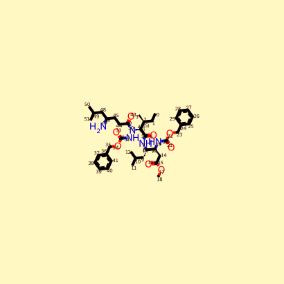 CC[C@H](C)[C@@H](C(=O)N[C@@H](CC(C)C)[C@H](CC(=O)OC)NC(=O)OCc1ccccc1)N(NC(=O)OCc1ccccc1)C(=O)CCC(N)CC(C)C